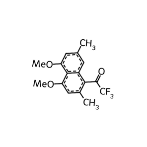 COc1cc(C)cc2c(C(=O)C(F)(F)F)c(C)cc(OC)c12